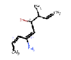 C=CC(C)[C@H](Br)/C=C(N)\C=C/C